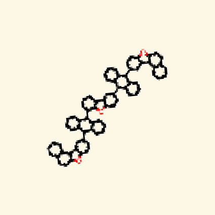 c1ccc2c(c1)ccc1oc3ccc(-c4c5ccccc5c(-c5ccc6oc7c(-c8c9ccccc9c(-c9ccc%10oc%11ccc%12ccccc%12c%11c%10c9)c9ccccc89)cccc7c6c5)c5ccccc45)cc3c12